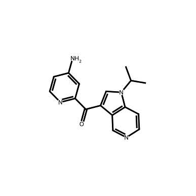 CC(C)n1cc(C(=O)c2cc(N)ccn2)c2cnccc21